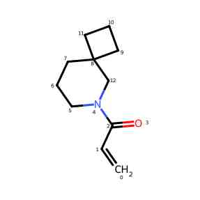 C=CC(=O)N1CCCC2(CCC2)C1